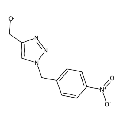 [O]Cc1cn(Cc2ccc([N+](=O)[O-])cc2)nn1